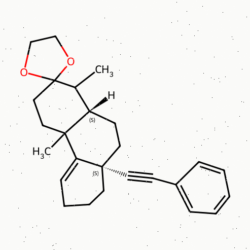 CC1[C@@H]2CC[C@@]3(C#Cc4ccccc4)CCCC=C3C2(C)CCC12OCCO2